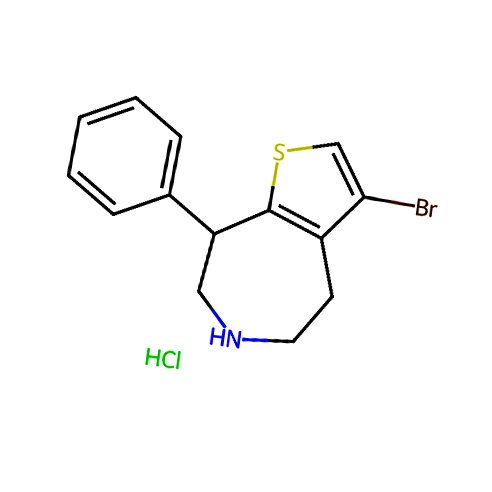 Brc1csc2c1CCNCC2c1ccccc1.Cl